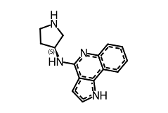 c1ccc2c(c1)nc(N[C@H]1CCNC1)c1cc[nH]c12